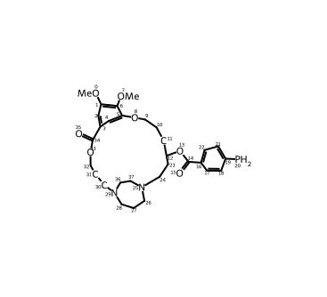 COc1cc2cc(c1OC)OCCCC(OC(=O)c1ccc(P)cc1)CCN1CCCN(CCCOC2=O)CC1